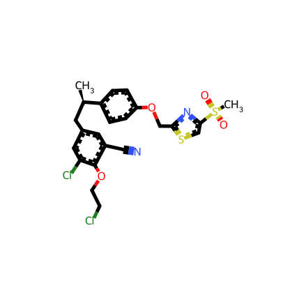 C[C@H](Cc1cc(Cl)c(OCCCl)c(C#N)c1)c1ccc(OCc2nc(S(C)(=O)=O)cs2)cc1